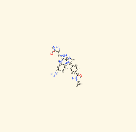 NC(=O)CCNc1nc2cc(N)ccc2n2c(-c3ccc(C(=O)NC4CC4)cc3)cnc12